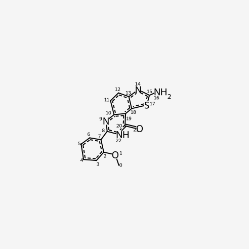 COc1ccccc1-c1nc2ccc3nc(N)sc3c2c(=O)[nH]1